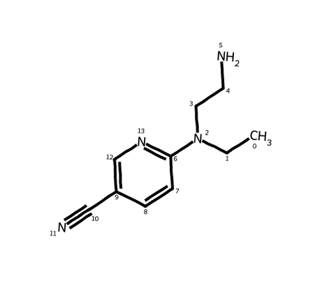 CCN(CCN)c1ccc(C#N)cn1